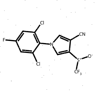 N#Cc1cn(-c2c(Cl)cc(F)cc2Cl)cc1[S+]([O-])C(F)(F)F